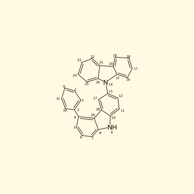 c1ccc(-c2cccc3[nH]c4ccc(-n5c6ccccc6c6ccccc65)cc4c23)cc1